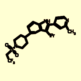 Cc1cc(-c2[nH]c3ccc(C4CCN(S(=O)(=O)CC(F)(F)F)CC4)cc3c2C(C)C)ccn1